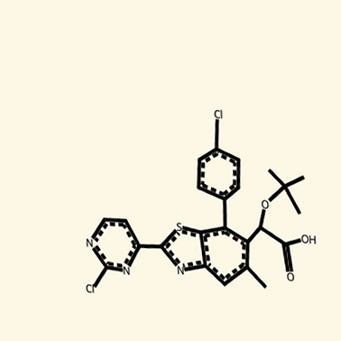 Cc1cc2nc(-c3ccnc(Cl)n3)sc2c(-c2ccc(Cl)cc2)c1C(OC(C)(C)C)C(=O)O